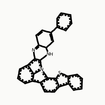 C1=CC2=Nc3c(n4c5c3cccc5c3ccc5c6ccccc6sc5c34)NC2C=C1c1ccccc1